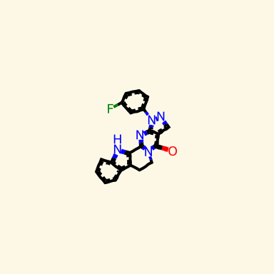 O=c1c2cnn(-c3cccc(F)c3)c2nc2n1CCc1c-2[nH]c2ccccc12